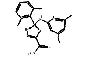 Cc1cc(C)nc(NC2(c3c(C)cccc3C)NC=C(C(N)=O)S2)c1